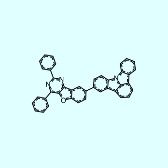 c1ccc(-c2nc(-c3ccccc3)c3oc4ccc(-c5ccc6c(c5)c5cccc7c8ccccc8n6c75)cc4c3n2)cc1